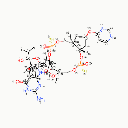 CC(C)[Si](O)(O[Si](O[C@H]1[C@H]2O[P@](=O)(S)OC[C@H]3C[C@@H](Oc4ccncn4)C[C@@H]3O[P@](=O)(S)OC[C@H]1O[C@H]2n1ccc2c(=O)[nH]c(N)nc21)(C(C)C)C(C)C)C(C)C